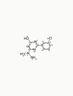 CN(N)c1nc(O)nc(-c2cccc(Cl)c2)n1